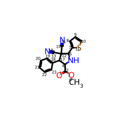 COC(=O)C1NC(c2cccs2)C(C#N)(C#N)C1c1ccccc1